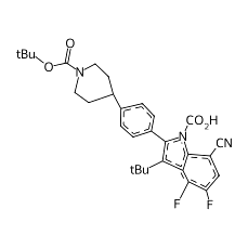 CC(C)(C)OC(=O)N1CCC(c2ccc(-c3c(C(C)(C)C)c4c(F)c(F)cc(C#N)c4n3C(=O)O)cc2)CC1